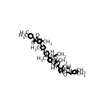 C=CC(=O)Nc1cc(Nc2nc(-c3ccnc(N4CCn5c(cc6c5CC(C)(C)C6)C4=O)c3CO)cn(C)c2=O)ccc1N1CCN(C2CCN(c3cc4c(cc3C)C(=O)N(C3CCC(C)(C)CC3)C4=O)[C@H](C)C2)C[C@@H]1C